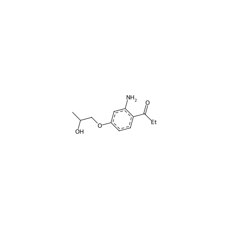 CCC(=O)c1ccc(OCC(C)O)cc1N